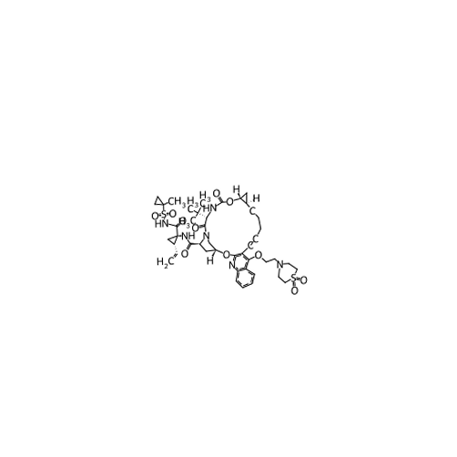 C=C[C@@H]1C[C@]1(NC(=O)[C@@H]1C[C@@H]2CN1C(=O)[C@H](C(C)(C)C)NC(=O)O[C@@H]1C[C@H]1CCCCCc1c(nc3ccccc3c1OCCN1CCS(=O)(=O)CC1)O2)C(=O)NS(=O)(=O)C1(C)CC1